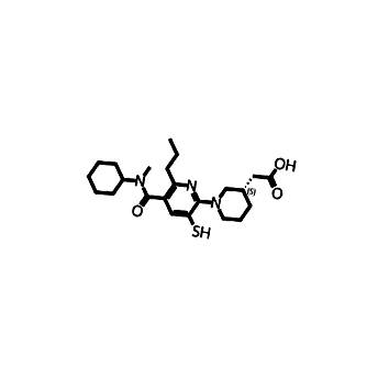 CCCc1nc(N2CCC[C@@H](CC(=O)O)C2)c(S)cc1C(=O)N(C)C1CCCCC1